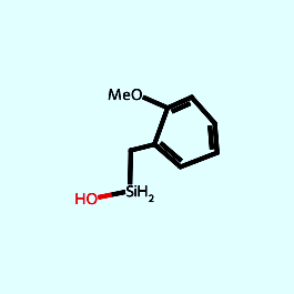 COc1ccccc1C[SiH2]O